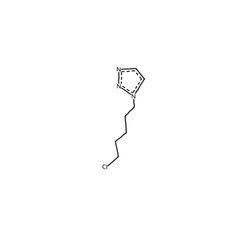 ClCCCCCn1ccnn1